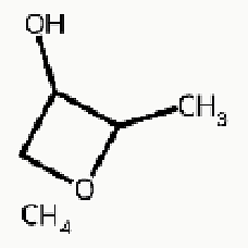 C.CC1OCC1O